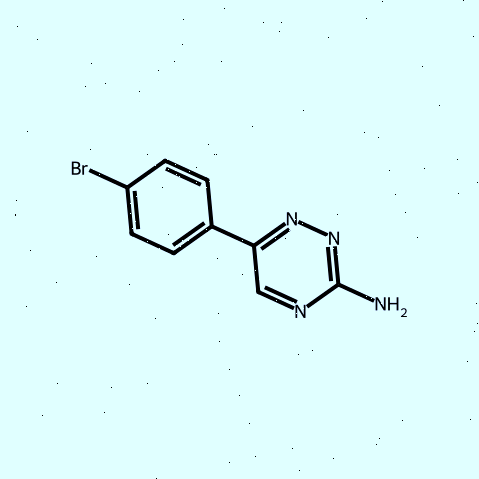 Nc1ncc(-c2ccc(Br)cc2)nn1